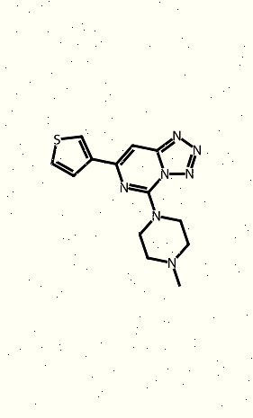 CN1CCN(c2nc(-c3ccsc3)cc3nnnn23)CC1